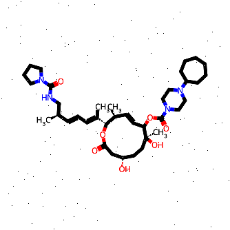 C/C(=C\C=C\[C@@H](C)CNC(=O)N1CCCC1)[C@H]1OC(=O)C[C@@H](O)CC[C@](C)(O)C(OC(=O)N2CCN(C3CCCCCC3)CC2)/C=C/[C@@H]1C